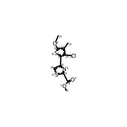 COC(=O)c1nc(-c2sc(OC)c(C)c2Cl)cs1